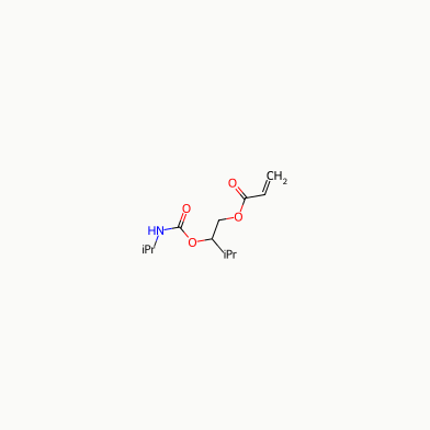 C=CC(=O)OCC(OC(=O)NC(C)C)C(C)C